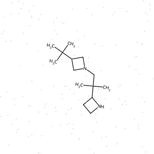 CC(C)(C)C1CN(CC(C)(C)C2CCN2)C1